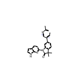 C=C(C)/N=C\C(=C/C)c1ccc2c(c1)N(c1ccc3cc[nH]c3n1)C(=O)C2(C)C